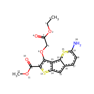 CCOC(=O)COc1c(C(=O)OC)sc2cc3ccc(N)sc-3c12